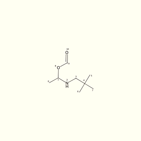 CC(NCC(C)(C)C)O[C]=O